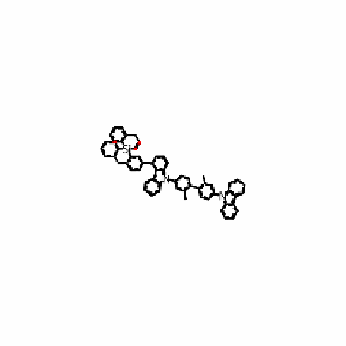 Cc1cc(-n2c3ccccc3c3ccccc32)ccc1-c1ccc(-n2c3ccccc3c3c(-c4ccc5c(c4)[Si]4(c6ccccc6Cc6ccccc64)c4ccccc4C5)cccc32)cc1C